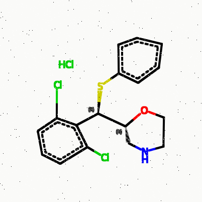 Cl.Clc1cccc(Cl)c1[C@@H](Sc1ccccc1)[C@H]1CNCCO1